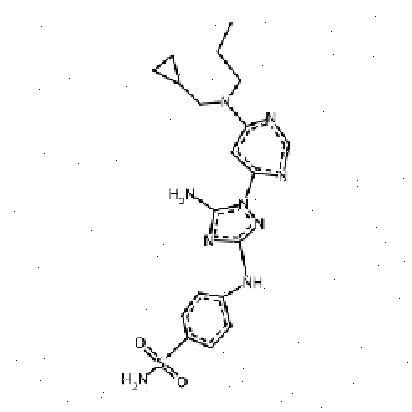 CCCN(CC1CC1)c1cc(-n2nc(Nc3ccc(S(N)(=O)=O)cc3)nc2N)ncn1